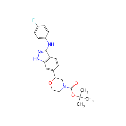 CC(C)(C)OC(=O)N1CCOC(c2ccc3c(Nc4ccc(F)cc4)n[nH]c3c2)C1